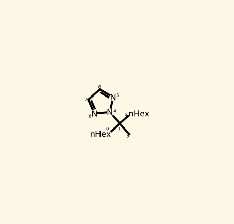 CCCCCCC(C)(CCCCCC)n1nccn1